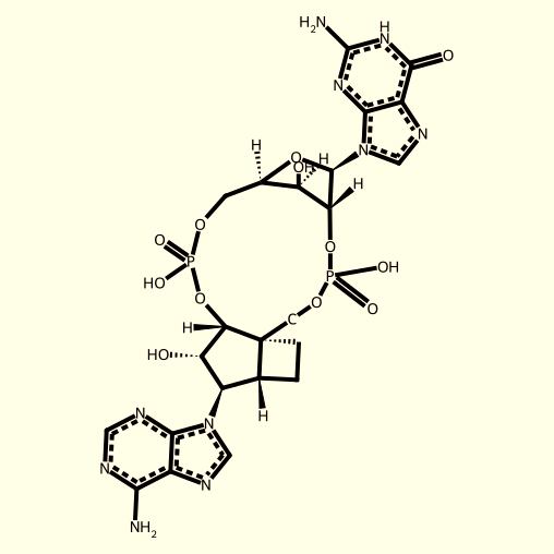 Nc1nc2c(ncn2[C@@H]2O[C@@H]3COP(=O)(O)O[C@H]4[C@@H](O)[C@H](n5cnc6c(N)ncnc65)[C@H]5CC[C@]54COP(=O)(O)O[C@@H]2[C@@H]3O)c(=O)[nH]1